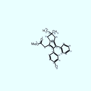 COC(=O)Cc1c(-c2ccc(Cl)cc2)c(-c2ccccc2)c2n1CC(C)(C)C2